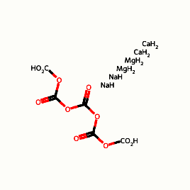 O=C(O)OC(=O)OC(=O)OC(=O)OC(=O)O.[CaH2].[CaH2].[MgH2].[MgH2].[NaH].[NaH]